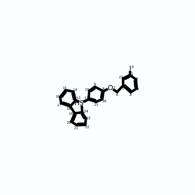 Ic1cccc(COc2ccc([SH]3c4ccccc4-c4ccccc43)cc2)c1